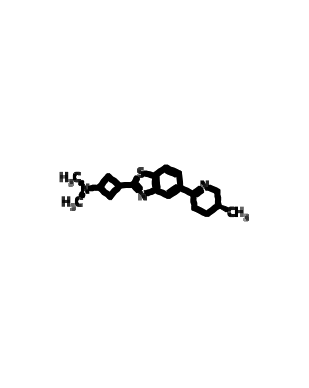 C[C@H]1CCC(c2ccc3sc(C4CC(N(C)C)C4)nc3c2)=NC1